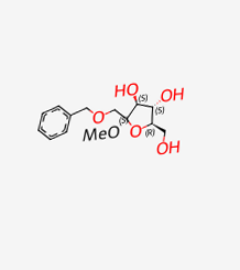 CO[C@@]1(COCc2ccccc2)O[C@H](CO)[C@@H](O)[C@@H]1O